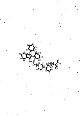 CC(C)C(=O)Nc1cccc(C2CCN(CCCc3c(-c4ccccc4F)n(-c4ccccc4)c4ccccc34)CC2)c1